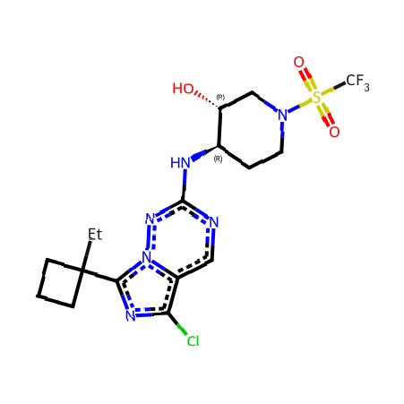 CCC1(c2nc(Cl)c3cnc(N[C@@H]4CCN(S(=O)(=O)C(F)(F)F)C[C@H]4O)nn23)CCC1